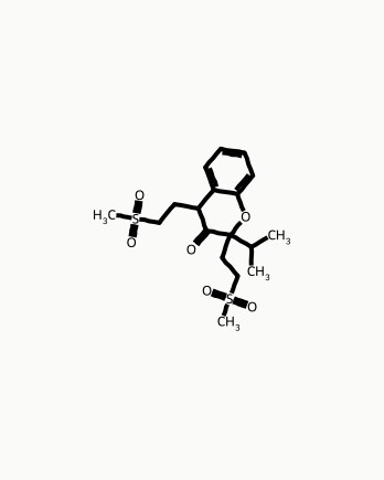 CC(C)C1(CCS(C)(=O)=O)Oc2ccccc2C(CCS(C)(=O)=O)C1=O